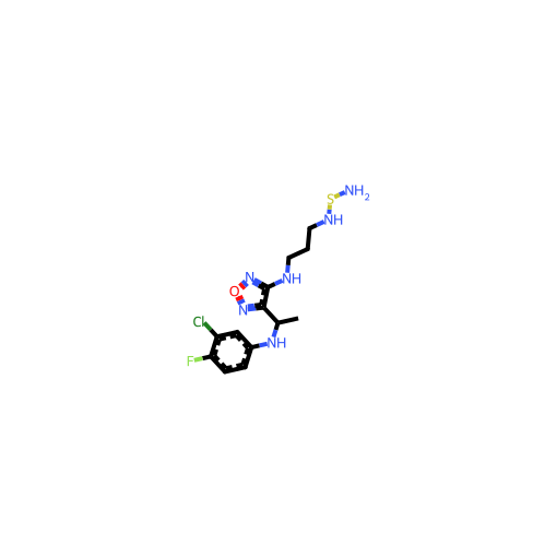 CC(Nc1ccc(F)c(Cl)c1)c1nonc1NCCCNSN